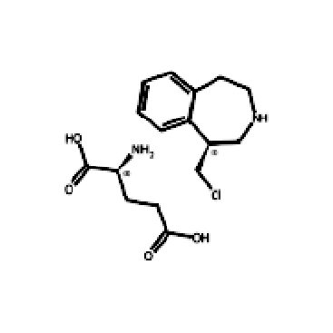 ClC[C@@H]1CNCCc2ccccc21.N[C@@H](CCC(=O)O)C(=O)O